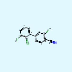 N#Cc1ccc(-c2cccc(F)c2Cl)cc1F